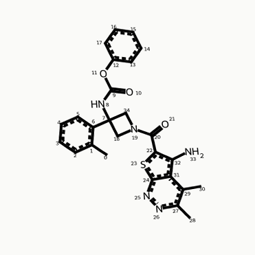 Cc1ccccc1C1(NC(=O)Oc2ccccc2)CN(C(=O)c2sc3nnc(C)c(C)c3c2N)C1